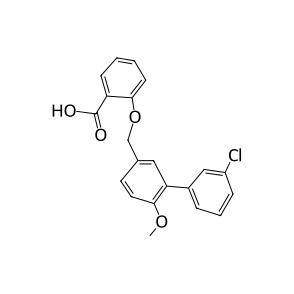 COc1ccc(COc2ccccc2C(=O)O)cc1-c1cccc(Cl)c1